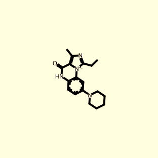 CCC1=NC(C)=C2C(=O)Nc3ccc(N4CCCCC4)cc3[N+]12